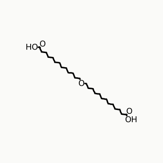 O=C(O)CCCCCCCCCCCCOCCCCCCCCCCCCC(=O)O